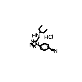 CCC(CC)NCc1nnnn1-c1ccc(C#N)cc1.Cl